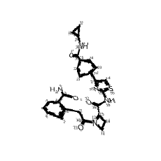 NC(=O)c1ccccc1[CH]C(=O)N1CC[C@@H]1C(=O)Nc1nc(-c2ccc(C(=O)NC3CC3)cc2)cs1